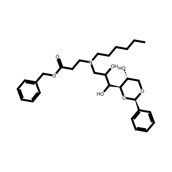 CCCCCCN(CCC(=O)OCc1ccccc1)CC(O)C(O)[C@@H]1O[C@H](c2ccccc2)OC[C@H]1O